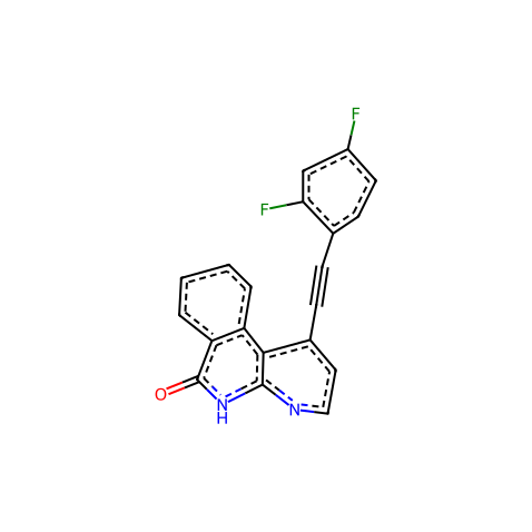 O=c1[nH]c2nccc(C#Cc3ccc(F)cc3F)c2c2ccccc12